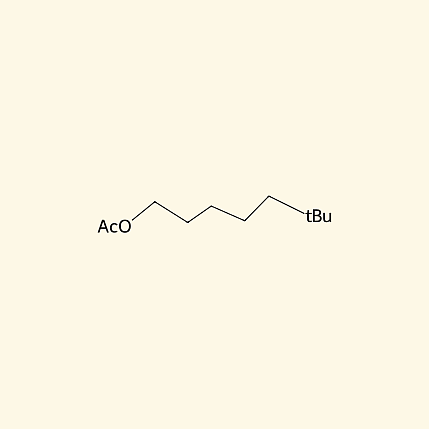 CC(=O)OCCCCCC(C)(C)C